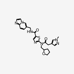 Cn1cc(CC(=O)N(CC2CCCO2)c2ncc(C(=O)NCc3ccc4nccn4c3)s2)cn1